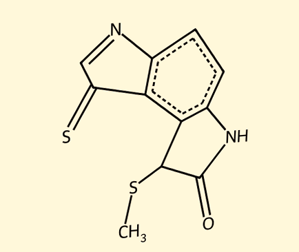 CSC1C(=O)Nc2ccc3c(c21)C(=S)C=N3